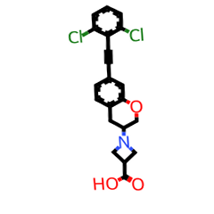 O=C(O)C1CN(C2COc3cc(C#Cc4c(Cl)cccc4Cl)ccc3C2)C1